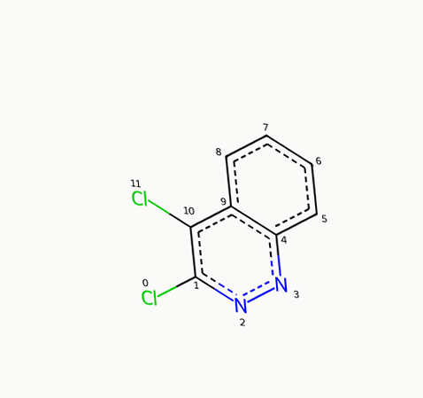 Clc1nnc2ccccc2c1Cl